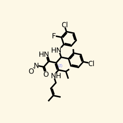 CC(C)=CCN/C(=C(\C(=N)C(=O)N=O)C(Nc1cccc(Cl)c1F)c1ccc(Cl)cc1C)C(C)C